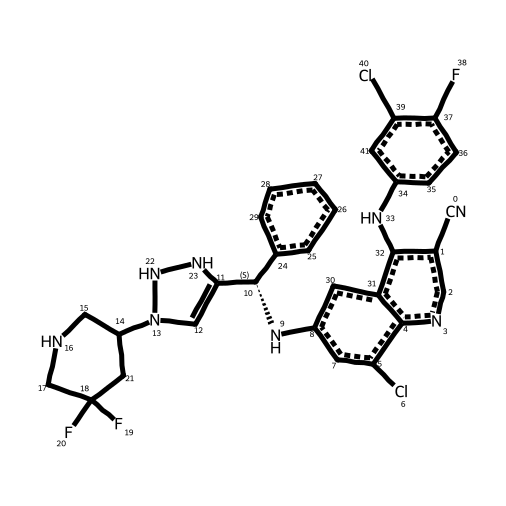 N#Cc1cnc2c(Cl)cc(N[C@H](C3=CN(C4CNCC(F)(F)C4)NN3)c3ccccc3)cc2c1Nc1ccc(F)c(Cl)c1